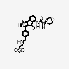 CS(=O)(=O)CCNCc1ccc(-c2[nH]nc3c2C(=O)c2c(NC(=O)NN4CCOCC4)cccc2-3)cc1